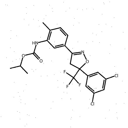 Cc1ccc(C2=NOC(c3cc(Cl)cc(Cl)c3)(C(F)(F)F)C2)cc1NC(=O)OC(C)C